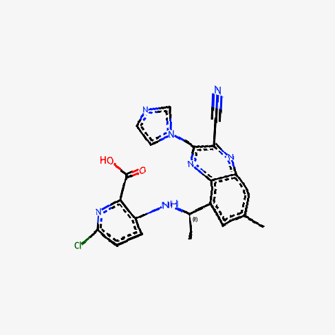 Cc1cc([C@@H](C)Nc2ccc(Cl)nc2C(=O)O)c2nc(-n3ccnc3)c(C#N)nc2c1